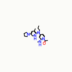 CCCN(C1=CC(NC)N(C(C)=O)C=C1)C1=C(C)C=C(N2CCCC2)CN1